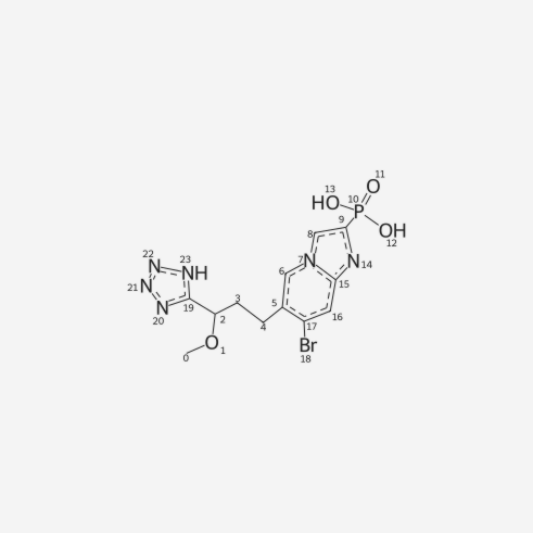 COC(CCc1cn2cc(P(=O)(O)O)nc2cc1Br)c1nnn[nH]1